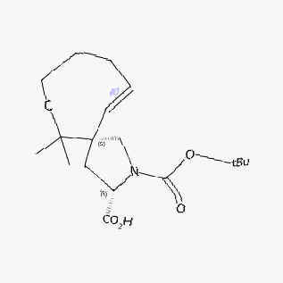 CC(C)(C)OC(=O)N1C[C@]2(/C=C/CCCCC2(C)C)C[C@H]1C(=O)O